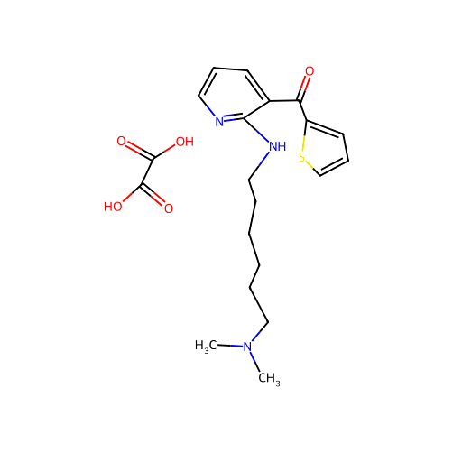 CN(C)CCCCCCNc1ncccc1C(=O)c1cccs1.O=C(O)C(=O)O